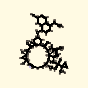 CC[C@]1(C(=O)NS(=O)(=O)C2(C)CC2)O[C@H](C)CC/C=C\[C@@H]2C[C@H]2NC(=O)[C@@H]2C[C@@H](Oc3ncc(OC)c4ccc(F)cc34)CN2C(=O)[C@H]1NC(=O)O